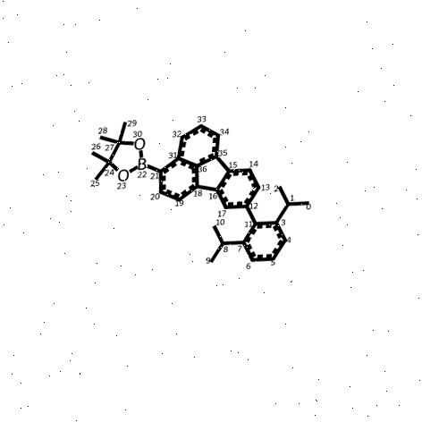 CC(C)c1cccc(C(C)C)c1-c1ccc2c(c1)-c1ccc(B3OC(C)(C)C(C)(C)O3)c3cccc-2c13